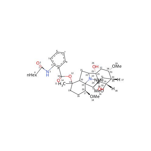 CCCCCCC(=O)Nc1ccccc1C(=O)OC1(C)CC[C@H](OC)C23C1CC(N2NC)[C@@]1(O)C[C@H](OC)[C@H]2CC3[C@]1(O)[C@H]2OC